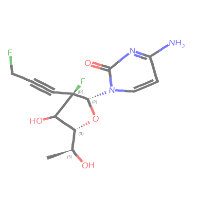 C[C@H](O)[C@H]1O[C@@H](n2ccc(N)nc2=O)[C@@](F)(C#CCF)C1O